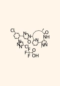 C[C@@H]1CCC[C@H](n2cnc(-c3cc(Cl)ccc3-n3cc(Cl)nn3)cc2=O)c2cccc(n2)-c2c(cnn2C)NC1=O.O=C(O)C(F)(F)F